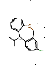 CC(C)[C@@H]1c2ccc(F)cc2CSc2ccccc21